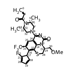 C=CC(=O)N1[C@H](C)CN(c2nc(=O)n3c4c(c(C5C=CC=C5F)c(C(F)(F)F)cc24)SC[C@@H]3COC)C[C@@H]1C